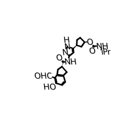 CC(C)NC(=O)O[C@@H]1CC[C@H](c2cc(NC(=O)[C@@H]3Cc4ccc(O)c(C=O)c4C3)n[nH]2)C1